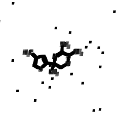 Cc1csc(C2(C)CON(C)C(N)=N2)c1